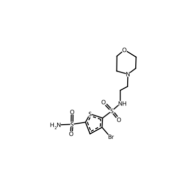 NS(=O)(=O)c1cc(Br)c(S(=O)(=O)NCCN2CCOCC2)s1